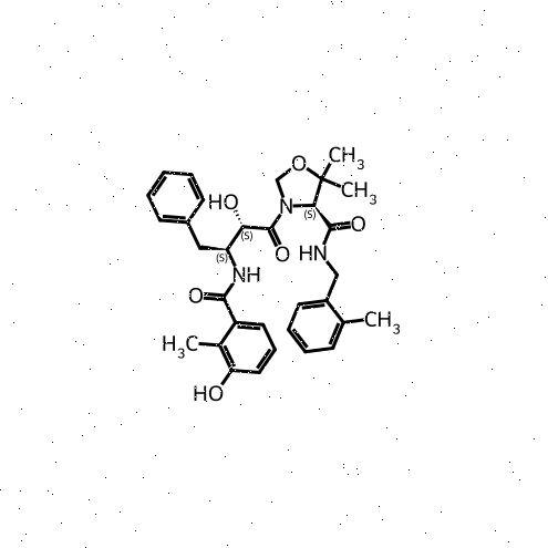 Cc1ccccc1CNC(=O)[C@H]1N(C(=O)[C@@H](O)[C@H](Cc2ccccc2)NC(=O)c2cccc(O)c2C)COC1(C)C